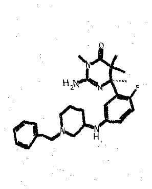 CN1C(=O)C(C)(C)[C@@](C)(c2cc(NC3CCCN(Cc4ccccc4)C3)ccc2F)N=C1N